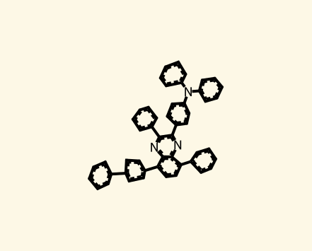 c1ccc(-c2ccc(-c3ccc(-c4ccccc4)c4nc(-c5ccc(N(c6ccccc6)c6ccccc6)cc5)c(-c5ccccc5)nc34)cc2)cc1